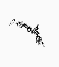 Nc1ncc(-c2ccc(C3(c4noc(-c5ccc(NCC(=O)O)nc5)n4)CCC3)cn2)cn1